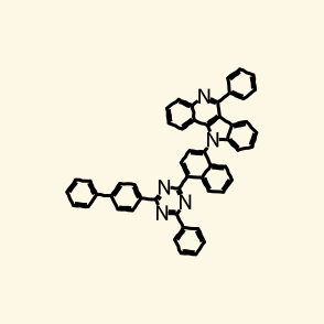 c1ccc(-c2ccc(-c3nc(-c4ccccc4)nc(-c4ccc(-n5c6ccccc6c6c(-c7ccccc7)nc7ccccc7c65)c5ccccc45)n3)cc2)cc1